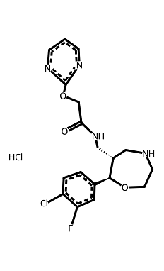 Cl.O=C(COc1ncccn1)NC[C@@H]1CNCCO[C@H]1c1ccc(Cl)c(F)c1